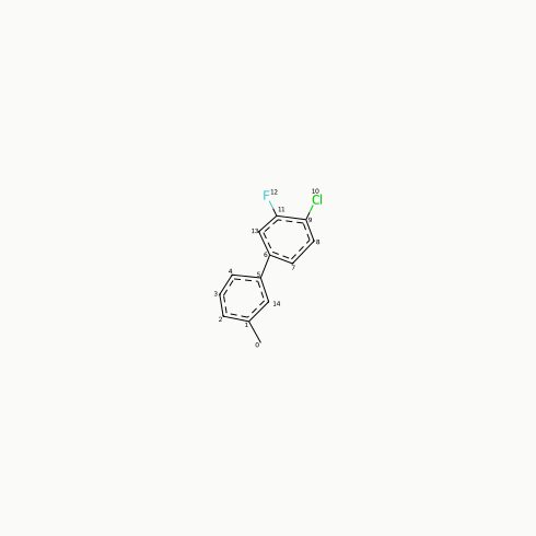 Cc1cccc(-c2ccc(Cl)c(F)c2)c1